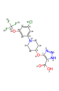 O=C(O)c1[nH]nnc1OC1CCN(c2cc(Cl)cc(OC(F)(F)F)c2)CC1